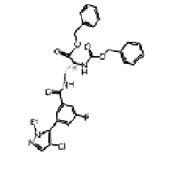 CCn1ncc(Cl)c1-c1cc(F)cc(C(=O)NC[C@@H](NC(=O)OCc2ccccc2)C(=O)OCc2ccccc2)c1